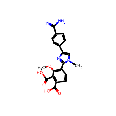 COc1c(-c2nc(-c3ccc(C(=N)N)cc3)cn2C)ccc(C(=O)O)c1C(=O)O